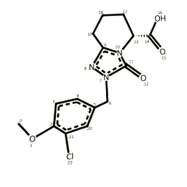 COc1ccc(Cn2nc3n(c2=O)[C@@H](C(=O)O)CCC3)cc1Cl